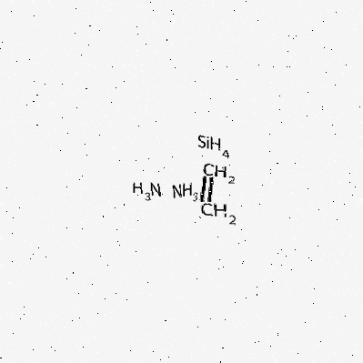 C=C.N.N.[SiH4]